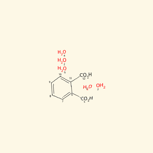 O.O.O.O.O.O=C(O)c1ccccc1C(=O)O